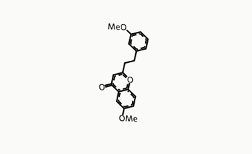 COc1cccc(CCc2cc(=O)c3cc(OC)ccc3o2)c1